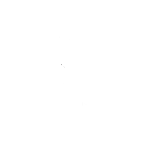 CCCN1CCc2cc(Br)ccc21